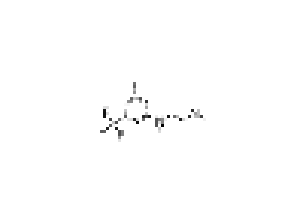 Cc1cc(N(C)CCN(C)C)cc(C(F)(F)F)c1